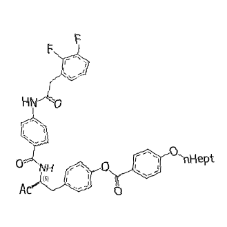 CCCCCCCOc1ccc(C(=O)Oc2ccc(C[C@H](NC(=O)c3ccc(NC(=O)Cc4cccc(F)c4F)cc3)C(C)=O)cc2)cc1